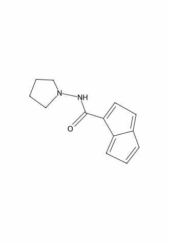 O=C(NN1CCCC1)C1=CC=C2C=CC=C21